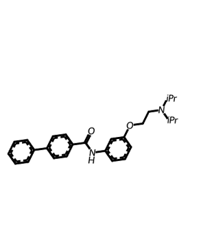 CC(C)N(CCOc1cccc(NC(=O)c2ccc(-c3ccccc3)cc2)c1)C(C)C